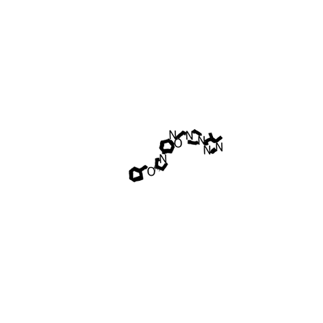 Cc1ncnc(N2CCN(Cc3nc4ccc(N5CC[C@@H](OCc6ccccc6)C5)cc4o3)CC2)c1C